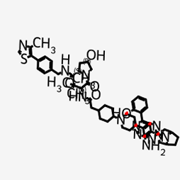 Cc1ncsc1-c1ccc(CNC(=O)[C@@H]2C[C@@H](O)CN2C(=O)[C@@H](NC(=O)CC2CCC(N3CCC(c4cnc(N5C6CCC5CN(c5cc(-c7ccccc7O)nnc5N)C6)nc4)CC3)CC2)C(C)(C)C)cc1